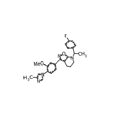 COc1cc(-c2noc3c2CCCN3C(C)c2ccc(F)cc2)ccc1-n1cnc(C)c1